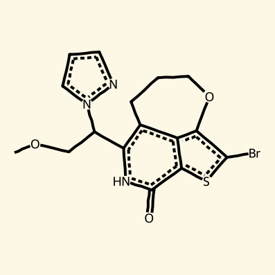 COCC(c1[nH]c(=O)c2sc(Br)c3c2c1CCCO3)n1cccn1